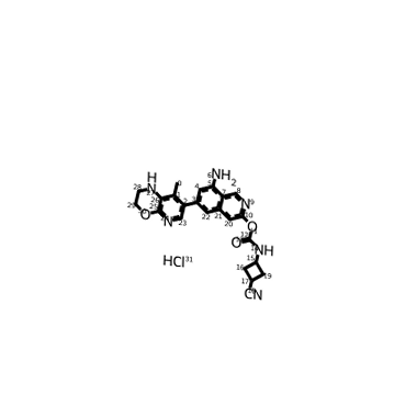 Cc1c(-c2cc(N)c3cnc(OC(=O)NC4CC(C#N)C4)cc3c2)cnc2c1NCCO2.Cl